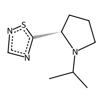 CC(C)N1CCC[C@H]1c1ncns1